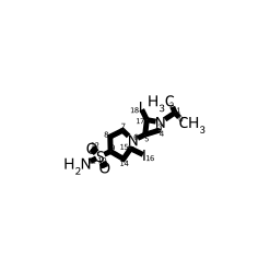 CC(C)N1CC(N2CCC(S(N)(=O)=O)CC2I)C1I